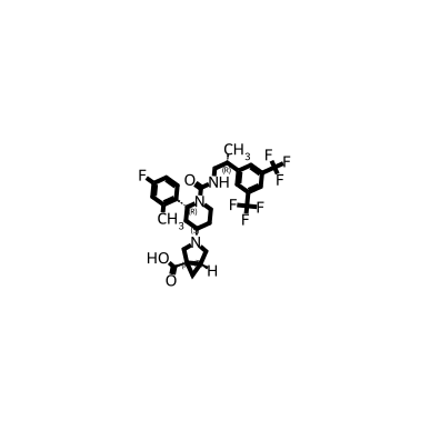 Cc1cc(F)ccc1[C@H]1C[C@@H](N2C[C@@H]3C[C@]3(C(=O)O)C2)CCN1C(=O)NC[C@H](C)c1cc(C(F)(F)F)cc(C(F)(F)F)c1